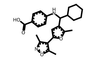 Cc1noc(C)c1-c1cc(C(Nc2ccc(C(=O)O)cc2)C2CCCCC2)c(C)o1